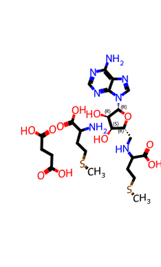 CSCCC(N)C(=O)O.CSCCC(NC[C@H]1O[C@@H](n2cnc3c(N)ncnc32)[C@H](O)[C@@H]1O)C(=O)O.O=C(O)CCC(=O)O